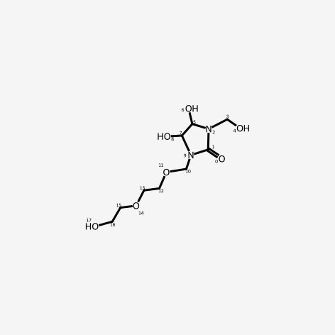 O=C1N(CO)C(O)C(O)N1COCCOCCO